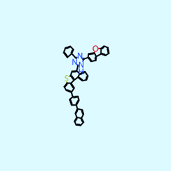 c1ccc(C2=NC(c3cc4sc5ccc(-c6ccc(-c7ccc8ccccc8c7)cc6)cc5c4c4ccccc34)NC(c3ccc4c(c3)oc3ccccc34)=N2)cc1